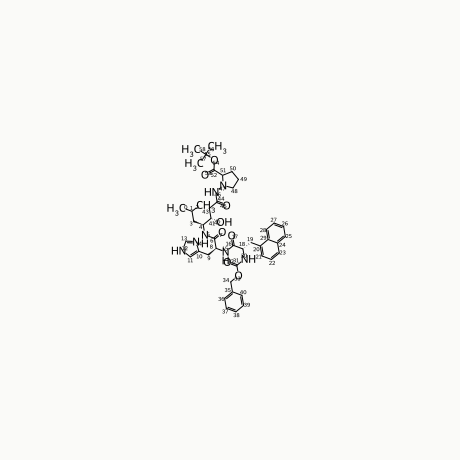 CC(C)C[C@H](NC(=O)[C@H](Cc1c[nH]cn1)NC(=O)[C@H](Cc1cccc2ccccc12)NC(=O)OCc1ccccc1)[C@@H](O)CC(=O)NN1CCCC1C(=O)OC(C)(C)C